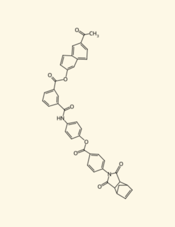 CC(=O)c1ccc2cc(OC(=O)c3cccc(C(=O)Nc4ccc(OC(=O)c5ccc(N6C(=O)C7C8C=CC(C8)C7C6=O)cc5)cc4)c3)ccc2c1